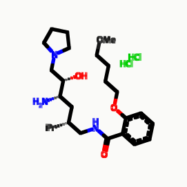 COCCCCOc1ccccc1C(=O)NC[C@@H](C[C@H](N)[C@@H](O)CN1CCCC1)C(C)C.Cl.Cl